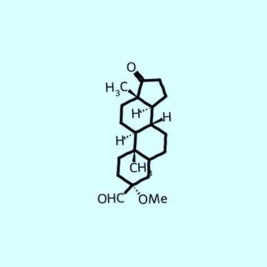 CO[C@]1(C=O)CC[C@@]2(C)C(CC[C@@H]3[C@@H]2CC[C@]2(C)C(=O)CC[C@@H]32)C1